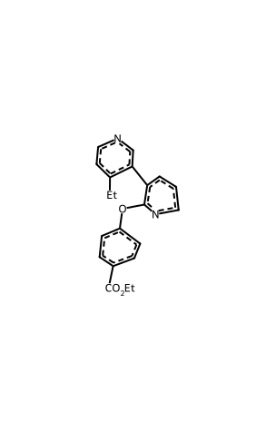 CCOC(=O)c1ccc(Oc2ncccc2-c2cnccc2CC)cc1